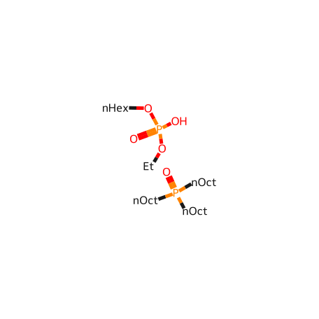 CCCCCCCCP(=O)(CCCCCCCC)CCCCCCCC.CCCCCCOP(=O)(O)OCC